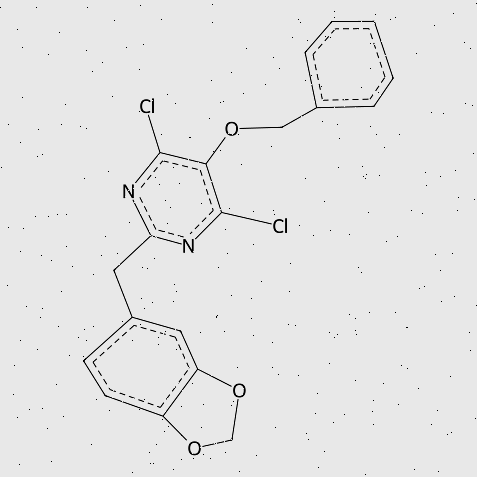 Clc1nc(Cc2ccc3c(c2)OCO3)nc(Cl)c1OCc1ccccc1